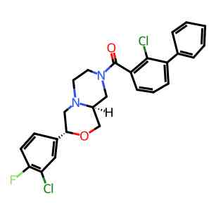 O=C(c1cccc(-c2ccccc2)c1Cl)N1CCN2C[C@@H](c3ccc(F)c(Cl)c3)OC[C@@H]2C1